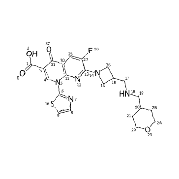 O=C(O)c1cn(-c2nccs2)c2nc(N3CC(CNCC4CCOCC4)C3)c(F)cc2c1=O